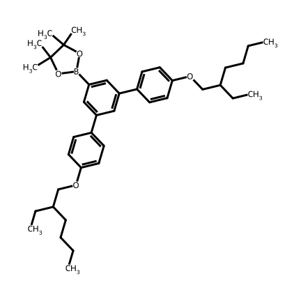 CCCCC(CC)COc1ccc(-c2cc(B3OC(C)(C)C(C)(C)O3)cc(-c3ccc(OCC(CC)CCCC)cc3)c2)cc1